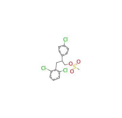 CS(=O)(=O)OCC(Cc1c(Cl)cccc1Cl)c1ccc(Cl)cc1